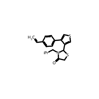 C=Cc1ccc(-c2cscc2C2SCC(=O)N2CC(C)C)cc1